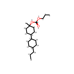 CCCOC(=O)OC1(C)CCC(C2CCC(CCC)CC2)CC1